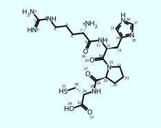 N=C(N)NCCC[C@H](N)C(=O)N[C@@H](Cc1c[nH]cn1)C(=O)N1CCC[C@H]1C(=O)N[C@@H](CS)C(=O)O